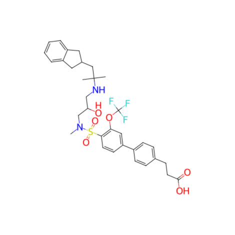 CN(CC(O)CNC(C)(C)CC1Cc2ccccc2C1)S(=O)(=O)c1ccc(-c2ccc(CCC(=O)O)cc2)cc1OC(F)(F)F